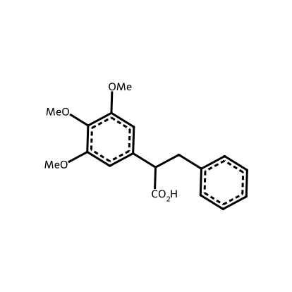 COc1cc(C(Cc2ccccc2)C(=O)O)cc(OC)c1OC